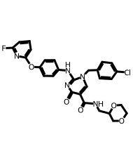 O=C(NCC1COCCO1)c1cn(Cc2ccc(Cl)cc2)c(Nc2ccc(Oc3cccc(F)n3)cc2)nc1=O